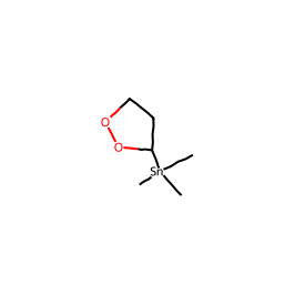 [CH3][Sn]([CH3])([CH3])[CH]1CCOO1